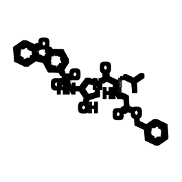 CC(C)C[C@H](NCC(=O)OCc1ccccc1)C(=O)N1CC(O)C(NS(=O)(=O)c2ccc3oc4ccccc4c3c2)C1